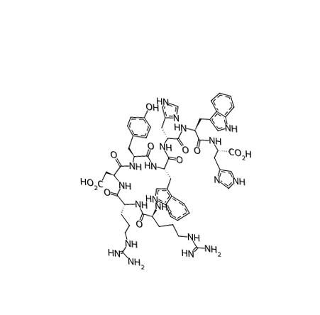 N=C(N)NCCC[C@H](N)C(=O)N[C@H](CCCNC(=N)N)C(=O)N[C@@H](CC(=O)O)C(=O)N[C@@H](Cc1ccc(O)cc1)C(=O)N[C@@H](Cc1c[nH]c2ccccc12)C(=O)N[C@H](Cc1c[nH]cn1)C(=O)N[C@@H](Cc1c[nH]c2ccccc12)C(=O)N[C@@H](Cc1c[nH]cn1)C(=O)O